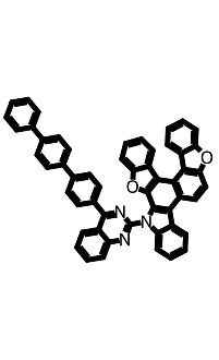 c1ccc(-c2ccc(-c3ccc(-c4nc(-n5c6ccccc6c6c7ccc8oc9ccccc9c8c7c7c8ccccc8oc7c65)nc5ccccc45)cc3)cc2)cc1